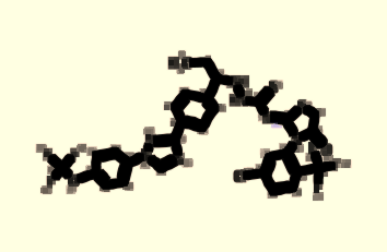 CCC(NNC(=S)/N=C1\SCC(=O)N1c1cc(Cl)ccc1C(F)(F)F)c1ccc(-c2ncn(-c3ccc(OC(F)(F)F)cc3)n2)cc1